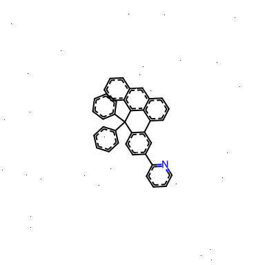 c1ccc(C2(c3ccccc3)c3ccc(-c4ccccn4)cc3-c3cccc4cc5ccccc5c2c34)cc1